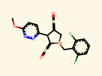 COc1ccc(C2C(=C=O)C[SH](Cc3c(F)cccc3F)C2=C=O)nn1